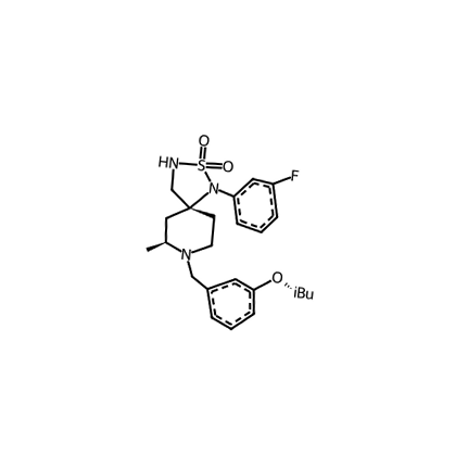 CC[C@@H](C)Oc1cccc(CN2CC[C@]3(CNS(=O)(=O)N3c3cccc(F)c3)C[C@@H]2C)c1